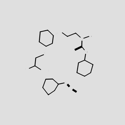 CCCCCCCN(CCO[C@H]1CCC[C@@H](CCC(CC)C(=O)O)C1)C(=O)NC1CCCCC1.O=C=NC1CCCCC1